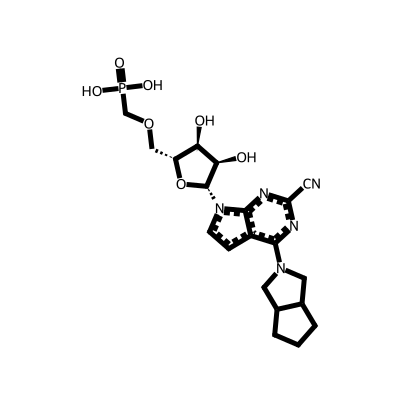 N#Cc1nc(N2CC3CCCC3C2)c2ccn([C@@H]3O[C@H](COCP(=O)(O)O)[C@@H](O)[C@H]3O)c2n1